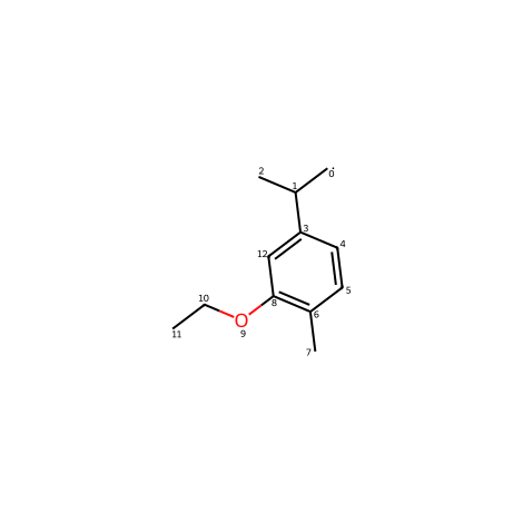 [CH2]C(C)c1ccc(C)c(OCC)c1